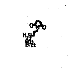 CCOC(OCC)[SiH2]CCCN1C(=O)CCC1=O